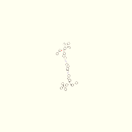 CC1(C)c2cc(/C=C/c3ccc4c(c3)C(C)(C)c3cc(N(c5ccc([Si](c6ccccc6)(c6ccccc6)c6ccccc6)cc5)c5cccc(-c6ccccc6)c5)ccc3-4)ccc2-c2ccc(/C=C/c3ccc4c(c3)C(C)(C)c3cc(N(c5ccc([Si](c6ccccc6)(c6ccccc6)c6ccccc6)cc5)c5cccc(-c6ccccc6)c5)ccc3-4)cc21